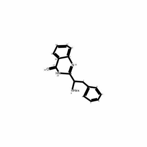 CCCCCCC(Cc1ccccc1)c1nc2ccccc2c(=O)[nH]1